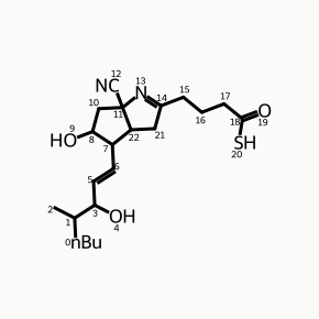 CCCCC(C)C(O)/C=C/C1C(O)CC2(C#N)N=C(CCCC(=O)S)CC12